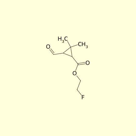 CC1(C)C(C=O)C1C(=O)OCCF